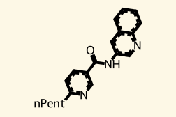 CCCCCc1ccc(C(=O)Nc2cnc3ccccc3c2)cn1